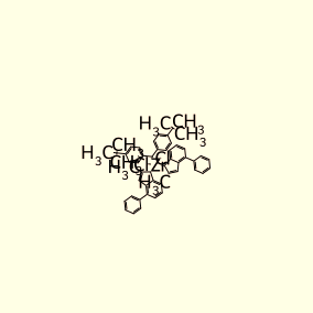 CC1=Cc2c(-c3ccccc3)cccc2[CH]1[Zr]([Cl])([Cl])(=[C](c1ccc(C(C)(C)C)cc1)c1ccc(C(C)(C)C)cc1)[CH]1C(C)=Cc2c(-c3ccccc3)cccc21